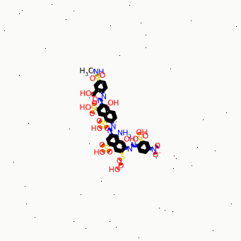 CNS(=O)(=O)c1ccc(N=Nc2c(S(=O)(=O)O)cc3c(S(=O)(=O)O)c(N=Nc4cc(S(=O)(=O)O)c5cc(SOOO)c(N=Nc6ccc([N+](=O)[O-])cc6S(=O)(=O)O)c(O)c5c4N)ccc3c2O)c(C(=O)O)c1